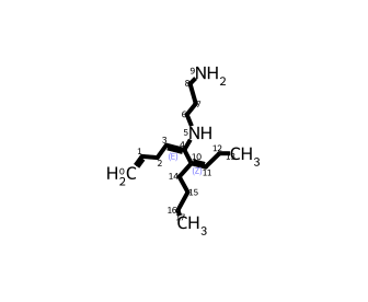 C=CC/C=C(NCCCN)\C(=C/CC)CCCC